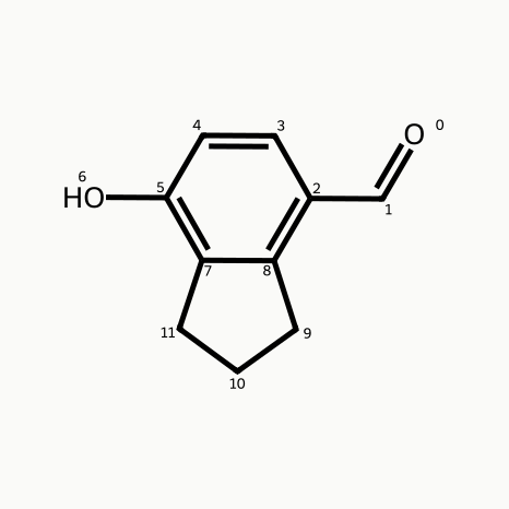 O=Cc1ccc(O)c2c1CCC2